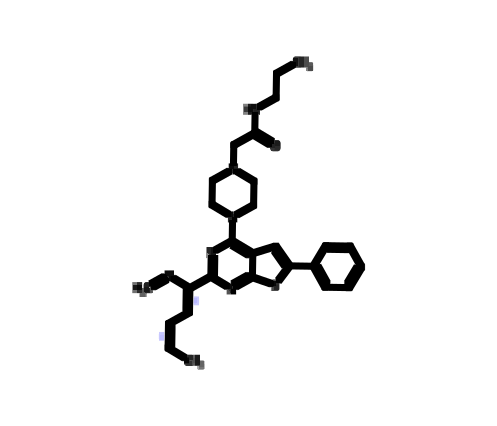 C=N/C(=C\C=C/C)c1nc(N2CCN(CC(=O)NCCC)CC2)c2cc(-c3ccccc3)sc2n1